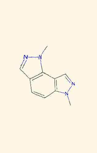 Cn1ncc2c1ccc1cnn(C)c12